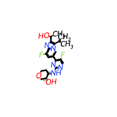 C=C(C)c1c(C(C)O)nc2c(F)cc(-c3nc(N[C@@H]4CCOC[C@H]4O)ncc3F)cn12